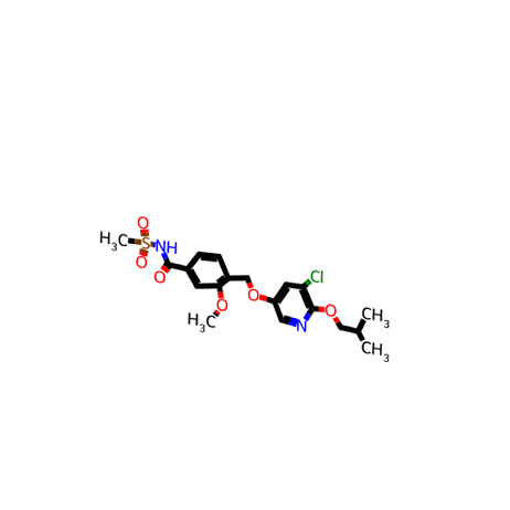 COc1cc(C(=O)NS(C)(=O)=O)ccc1COc1cnc(OCC(C)C)c(Cl)c1